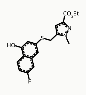 CCOC(=O)c1cc(CSc2cc(O)c3ccc(F)cc3c2)n(C)n1